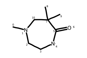 CN1CC[N]C(=O)C(C)(C)C1